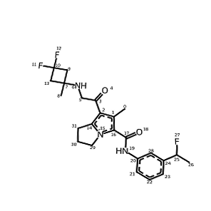 Cc1c(C(=O)CNC2(C)CC(F)(F)C2)c2n(c1C(=O)Nc1cccc(C(C)F)c1)CCC2